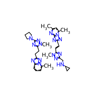 Cc1cc(C)n2nc(C=Cc3nc(CNC4CC4)nn3C)nc2n1.Cc1cccc2nc(CCc3nc(N4CCCC4)nn3C)nn12